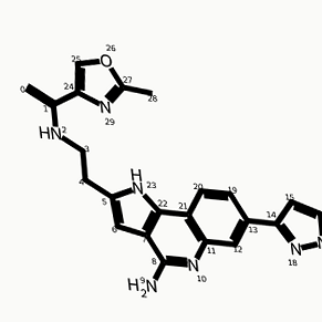 C=C(NCCc1cc2c(N)nc3cc(-c4cc[nH]n4)ccc3c2[nH]1)c1coc(C)n1